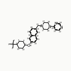 CC(C)(C)C1CCC(Oc2ccc3cc(CN4CCN(c5ccncn5)CC4)ccc3c2)CC1